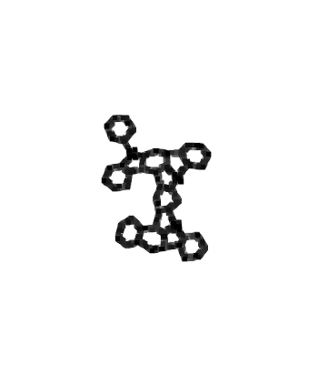 c1ccc(-n2c3ccccc3c3c4c5cc6c7c8ccccc8cc8c9ccccc9n(c6cc5n5c6ccccc6c(cc32)c45)c87)cc1